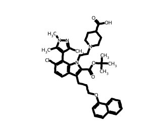 Cc1nn(C)c(C)c1-c1c(Cl)ccc2c(CCCOc3cccc4ccccc34)c(C(=O)OC(C)(C)C)n(CCN3CCC(C(=O)O)CC3)c12